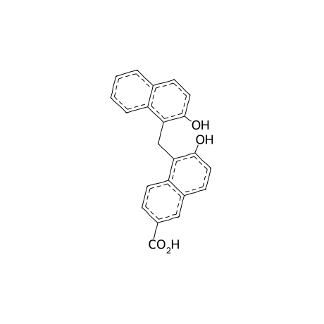 O=C(O)c1ccc2c(Cc3c(O)ccc4ccccc34)c(O)ccc2c1